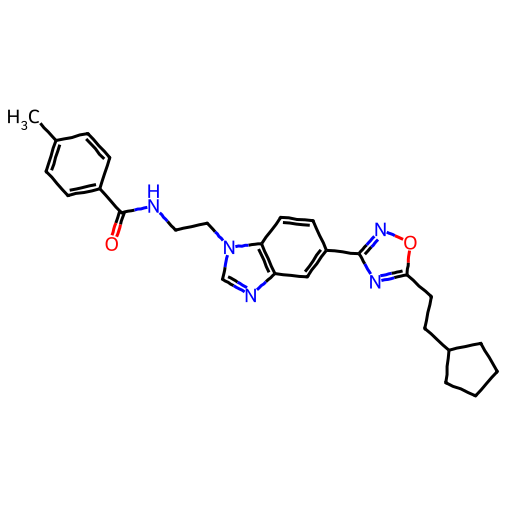 Cc1ccc(C(=O)NCCn2cnc3cc(-c4noc(CCC5CCCC5)n4)ccc32)cc1